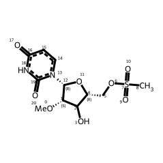 CO[C@H]1C(O)[C@@H](COS(C)(=O)=O)O[C@H]1n1ccc(=O)[nH]c1=O